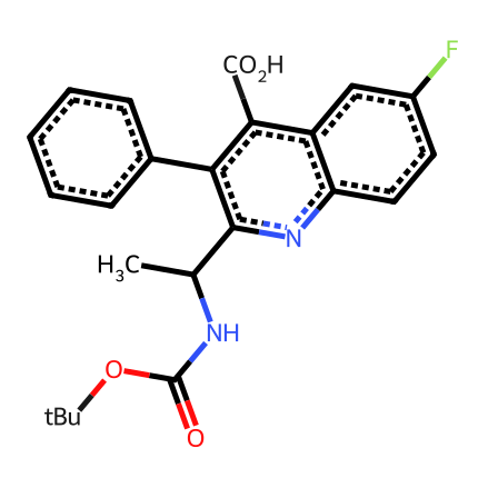 CC(NC(=O)OC(C)(C)C)c1nc2ccc(F)cc2c(C(=O)O)c1-c1ccccc1